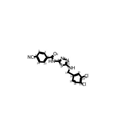 N#Cc1ccc(C(=O)Nc2nnc(NCc3ccc(Cl)c(Cl)c3)s2)cc1